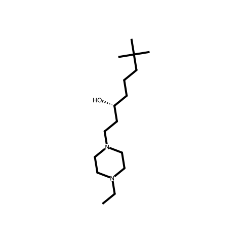 CCN1CCN(CC[C@H](O)CCCC(C)(C)C)CC1